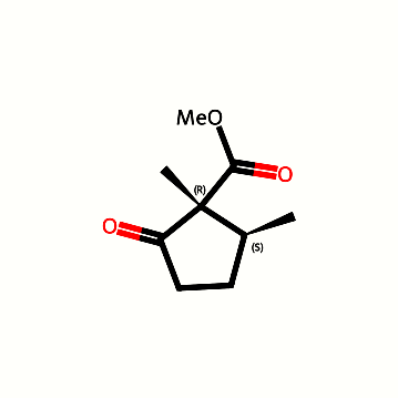 COC(=O)[C@@]1(C)C(=O)CC[C@@H]1C